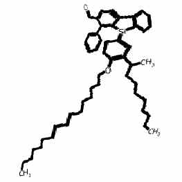 CCCCCCCCCCCCCCCCOc1ccc([Si]2c3ccccc3-c3ccc(C=O)c(-c4ccccc4)c32)cc1C(C)CCCCCCCC